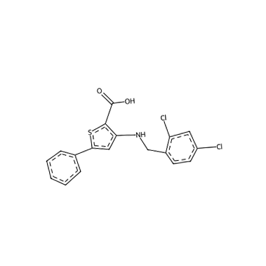 O=C(O)c1sc(-c2ccccc2)cc1NCc1ccc(Cl)cc1Cl